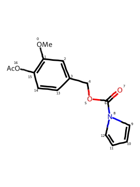 COc1cc(COC(=O)n2cccc2)ccc1OC(C)=O